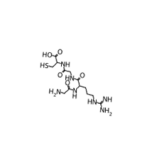 N=C(N)NCCCC(NC(=O)CN)C(=O)NCC(=O)NC(CS)C(=O)O